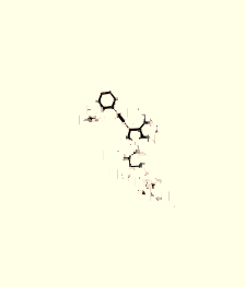 Nc1ncnc2c1c(C#Cc1ccccc1OC(F)(F)F)cn2[C@@H]1O[C@H](CNS(N)(=O)=O)[C@@H](O)[C@H]1O